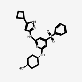 O=S(=O)(c1ccccc1)c1cc(Nc2cc(C3CCC3)[nH]n2)nc(N[C@H]2CC[C@H](O)CC2)c1